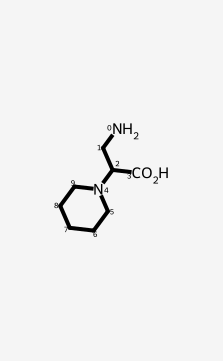 NCC(C(=O)O)N1CCCCC1